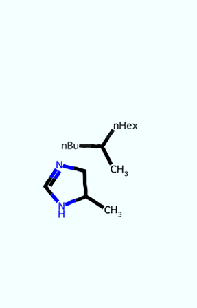 CC1CN=CN1.CCCCCCC(C)CCCC